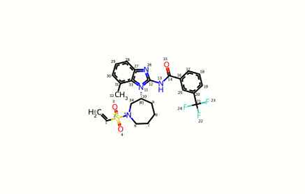 C=CS(=O)(=O)N1CCCC[C@@H](n2c(NC(=O)c3cccc(C(F)(F)F)c3)nc3cccc(C)c32)C1